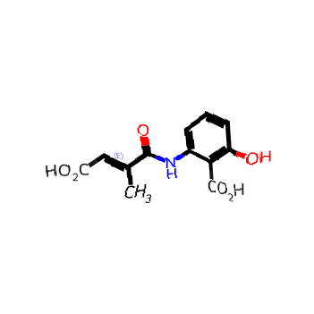 C/C(=C\C(=O)O)C(=O)Nc1cccc(O)c1C(=O)O